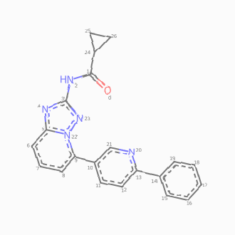 O=C(Nc1nc2cccc(-c3ccc(-c4ccccc4)nc3)n2n1)C1CC1